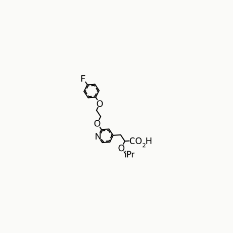 CC(C)OC(Cc1ccnc(OCCOc2ccc(F)cc2)c1)C(=O)O